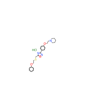 Cl.c1ccc(OCCSCc2nc(-c3ccc(OCCN4CCCCC4)cc3)no2)cc1